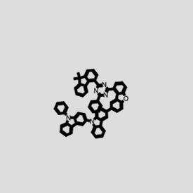 CC1(C)c2ccccc2-c2c(-c3nc(-c4ccccc4)nc(-c4cccc5oc6ccc(-c7ccc8c(c7)c7ccccc7n8-c7ccc8c(c7)c7ccccc7n8-c7ccccc7)cc6c45)n3)cccc21